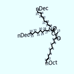 CCCCCCCCC=CCCCCCCCC(=O)C(C)OC(=O)N(CCCCCCCCCCCCCCCCCC)CCCCCCCCCCCCCCCCCC